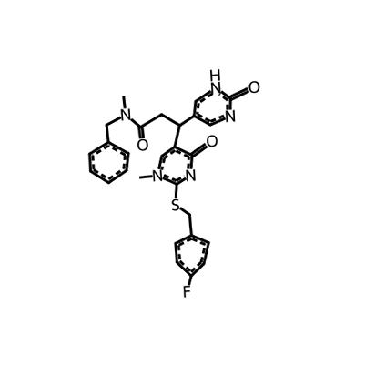 CN(Cc1ccccc1)C(=O)CC(c1cnc(=O)[nH]c1)c1cn(C)c(SCc2ccc(F)cc2)nc1=O